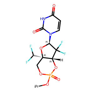 CC(C)OP1(=O)OC[C@@]2(C(F)F)O[C@@H](n3ccc(=O)[nH]c3=O)C(F)(F)[C@@H]2O1